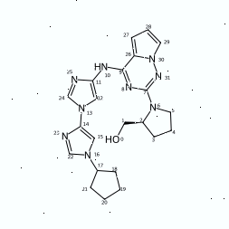 OC[C@@H]1CCCN1c1nc(Nc2cn(-c3cn(C4CCCC4)cn3)cn2)c2cccn2n1